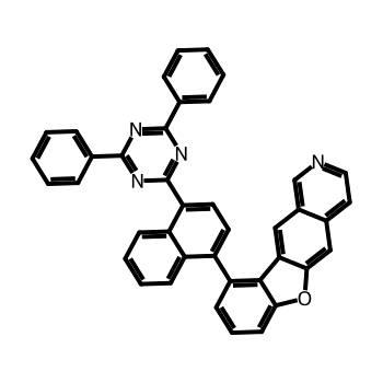 c1ccc(-c2nc(-c3ccccc3)nc(-c3ccc(-c4cccc5oc6cc7ccncc7cc6c45)c4ccccc34)n2)cc1